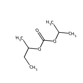 CC[C](C)OC(=O)OC(C)C